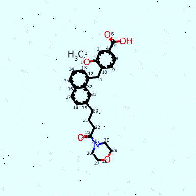 COc1cc(C(=O)O)ccc1Cc1cccc2ccc(CCCC(=O)N3CCOCC3)cc12